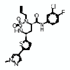 C=CCN1[C@@H](C(=O)Nc2ccc(F)c(Cl)c2)C[C@@H](c2ccc(-c3cnn(C)c3)s2)NS1(=O)=O